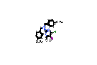 COc1ccc(CN(Cc2ccc(OC)cc2)c2nc(C)c(I)c(Cl)n2)cc1